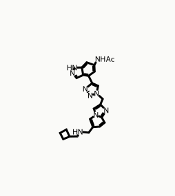 CC(=O)Nc1cc(-c2cn(Cc3cn4cc(CNCC5CCC5)ccc4n3)nn2)c2cn[nH]c2c1